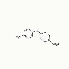 Nc1ccc(SC2CCN(C(=O)O)CC2)cc1